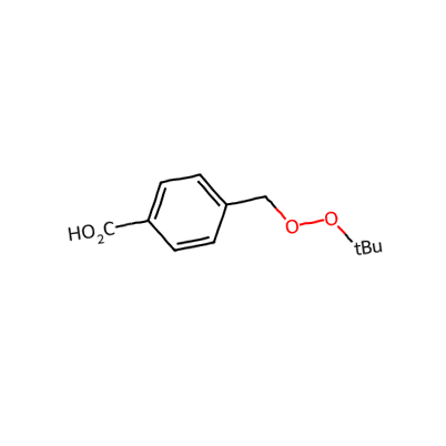 CC(C)(C)OOCc1ccc(C(=O)O)cc1